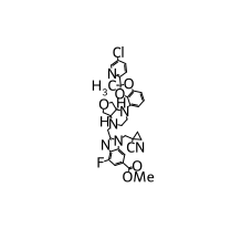 COC(=O)c1cc(F)c2nc(CN3CCN(c4cccc5c4O[C@](C)(c4ccc(Cl)cn4)O5)[C@H]4COC[C@H]43)n(CC3(C#N)CC3)c2c1